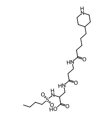 CCCCS(=O)(=O)NC(CNC(=O)CCNC(=O)CCCCC1CCNCC1)C(=O)O